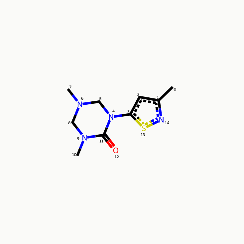 Cc1cc(N2CN(C)CN(C)C2=O)sn1